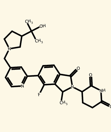 CC1c2c(ccc(-c3cc(CN4CCC(C(C)(C)O)C4)ccn3)c2F)C(=O)N1C1CCC(=O)NC1=O